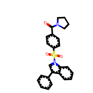 O=C(c1ccc(S(=O)(=O)n2cc(-c3ccccc3)c3ccccc32)cc1)N1CCCC1